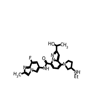 CCNC1CCN(c2ccc(C(=O)Nc3cc(F)c4nc(C)cn4c3)n3nc(C(C)O)cc23)C1